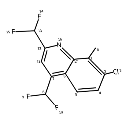 Cc1c(Cl)ccc2c(C(F)F)cc(C(F)F)nc12